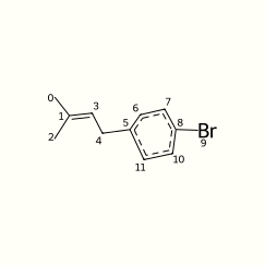 CC(C)=CCc1ccc(Br)cc1